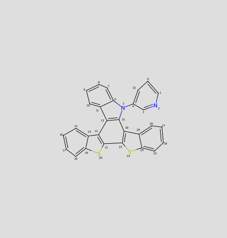 c1cncc(-n2c3ccccc3c3c4c5ccccc5sc4c4sc5ccccc5c4c32)c1